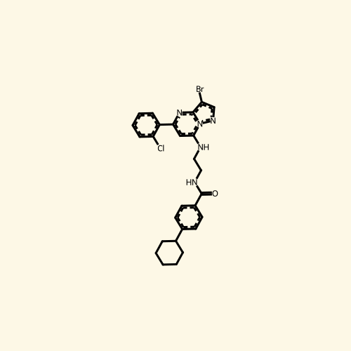 O=C(NCCNc1cc(-c2ccccc2Cl)nc2c(Br)cnn12)c1ccc(C2CCCCC2)cc1